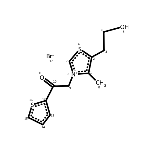 Cc1c(CCO)sc[n+]1CC(=O)c1cccs1.[Br-]